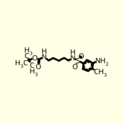 Cc1ccc(S(=O)(=O)NCCCCCNC(=O)OC(C)(C)C)cc1N